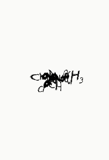 CCOC(=O)N1CCC(Nc2ncnc3c2nc(-c2ccc(Cl)cc2Cl)n3-c2ccc(Cl)cc2)CC1